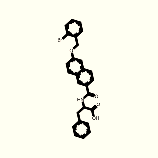 O=C(NC(Cc1ccccc1)C(=O)O)c1ccc2cc(OCc3ccccc3Br)ccc2c1